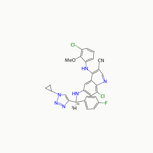 [2H][C@](Nc1cc(Cl)c2ncc(C#N)c(Nc3cccc(Cl)c3OC)c2c1)(c1ccc(F)cc1)c1cn(C2CC2)nn1